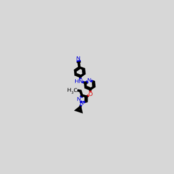 CCc1nn(C2CC2)cc1Oc1ccnc(Nc2ccc(C#N)cc2)c1